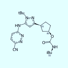 CC[C@H](C)NC(=O)O[C@@H]1CC[C@H](c2cc(Nc3ccc(C#N)nn3)n(C(C)(C)C)n2)C1